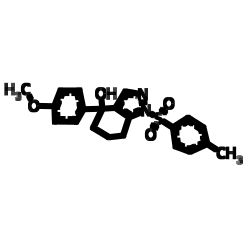 COc1ccc(C2(O)CCCc3c2cnn3S(=O)(=O)c2ccc(C)cc2)cc1